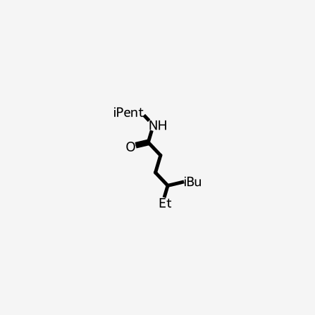 CCCC(C)NC(=O)CCC(CC)C(C)CC